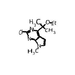 CCOC(C)(C)c1nc(Cl)nc2c1ccn2C